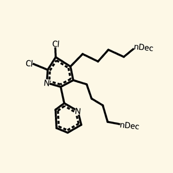 CCCCCCCCCCCCCCc1c(-c2ccccn2)nc(Cl)c(Cl)c1CCCCCCCCCCCCCC